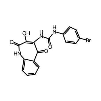 O=C(Nc1ccc(Br)cc1)Nc1c(O)c(=O)[nH]c2ccccc2c1=O